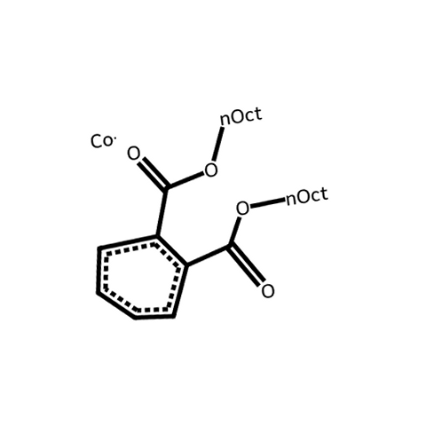 CCCCCCCCOC(=O)c1ccccc1C(=O)OCCCCCCCC.[Co]